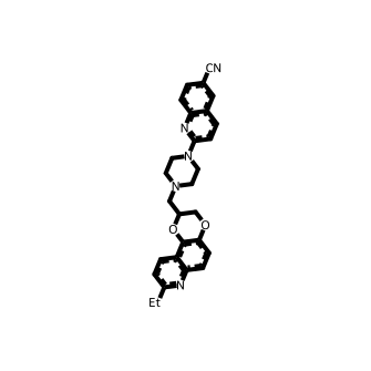 CCc1ccc2c3c(ccc2n1)OCC(CN1CCN(c2ccc4cc(C#N)ccc4n2)CC1)O3